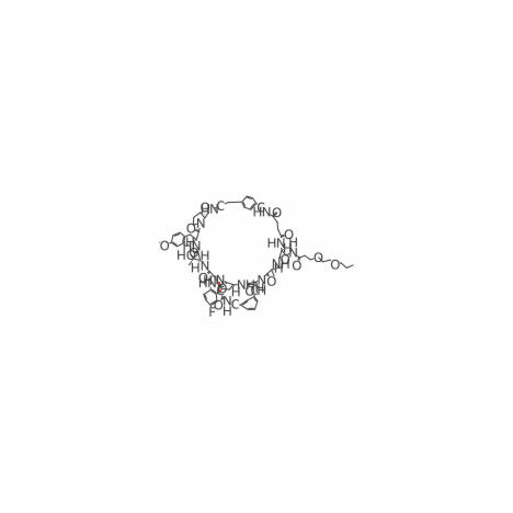 CCCOCCOCCC(=O)NC[C@@H]1NC(=O)CCC(=O)NCc2ccc(cc2)CCNC(=O)[C@]2(C)CCCN2C(=O)[C@H](Cc2ccc(OC)cc2)NC(=O)[C@H]([C@@H](C)O)NC(=O)[C@@H]2CCC(=O)NCc3cccc(c3)C[C@H](NC(=O)[C@@H](C)NC1=O)C(=O)N[C@@H](Cc1c[nH]c3ccc(F)cc13)C(=O)N2C